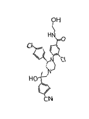 C[C@@](O)(CN1CCN(c2ccc(C(=O)NCCO)cc2Cl)[C@H](c2ccc(Cl)cc2)C1)c1ccc(C#N)cc1